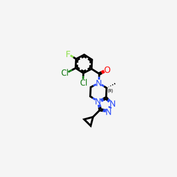 C[C@@H]1c2nnc(C3CC3)n2CCN1C(=O)c1ccc(F)c(Cl)c1Cl